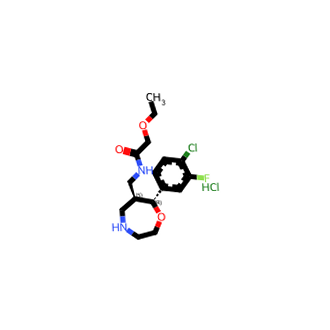 CCOCC(=O)NC[C@@H]1CNCCO[C@H]1c1ccc(Cl)c(F)c1.Cl